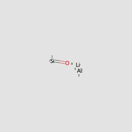 O=[Si].[Al].[Li]